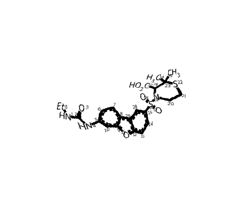 CCNC(=O)Nc1ccc2c(c1)oc1ccc(S(=O)(=O)N3CCSC(C)(C)C3C(=O)O)cc12